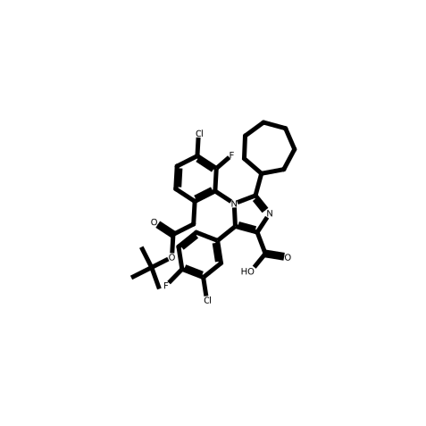 CC(C)(C)OC(=O)Cc1ccc(Cl)c(F)c1-n1c(C2CCCCCC2)nc(C(=O)O)c1-c1ccc(F)c(Cl)c1